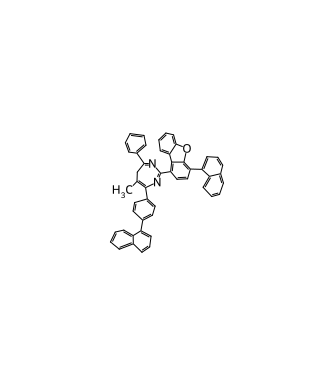 CC1=C(c2ccc(-c3cccc4ccccc34)cc2)N=C(c2ccc(-c3cccc4ccccc34)c3oc4ccccc4c23)N=C(c2ccccc2)C1